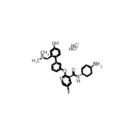 CN(C)Cc1cc(O)ccc1-c1cccc(Oc2ncc(F)cc2C(=O)N[C@H]2CC[C@H](N)CC2)c1.Cl.Cl